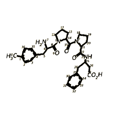 Cc1ccc(CC(N)C(=O)N2CCCC2C(=O)N2CCCC2C(=O)NC(CC(=O)O)Cc2ccccc2)cc1